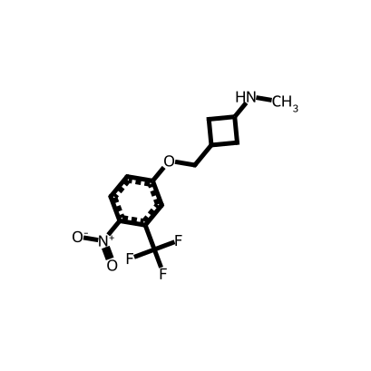 CNC1CC(COc2ccc([N+](=O)[O-])c(C(F)(F)F)c2)C1